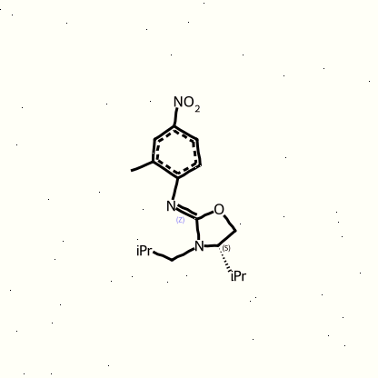 Cc1cc([N+](=O)[O-])ccc1/N=C1\OC[C@H](C(C)C)N1CC(C)C